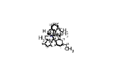 C=NN(/C(=N\C)C(C1=CCC(CC)CC1)N1CCCC1C)c1c(C)cccc1C